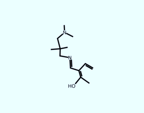 C=CC(/C=N/CC(C)(C)CN(C)C)=C(\C)O